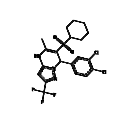 CC1=C(S(=O)(=O)C2CCCCC2)C(c2ccc(Cl)c(Cl)c2)n2nc(C(F)(F)F)cc2N1